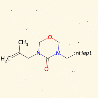 C=C(C)CN1COCN(CCCCCCCC)C1=O